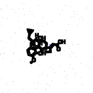 COc1ccc2c3c1O[C@H]1[C@@]4(CC/C4=C\C(=O)O)CC[C@@]4(O)[C@@H](C2)N(CC2CC2)CC[C@]314